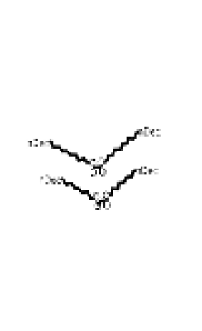 CCCCCCCCCCCCCCCCCCCCOC(=O)C(=O)OCCCCCCCCCCCCCCCCCCCC.CCCCCCCCCCCCCCCCCCOC(=O)C(=O)OCCCCCCCCCCCCCCCCCC